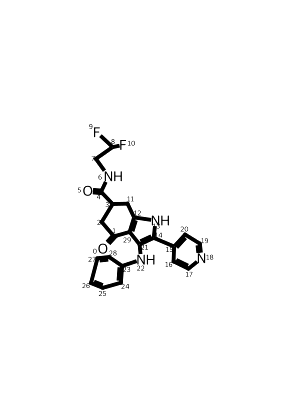 O=C1CC(C(=O)NCC(F)F)Cc2[nH]c(-c3ccncc3)c(Nc3ccccc3)c21